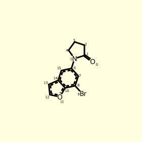 O=C1CCCN1c1cc(Br)c2occc2c1